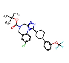 CC(C)(C)OC(=O)N1Cc2cc(Cl)ccc2-n2c(nnc2C2CCC(c3cccc(OC(F)(F)F)c3)CC2)C1